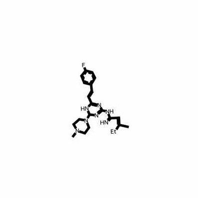 CC/C(C)=C\C(=N)NC1=NC(N2CCN(C)CC2)NC(/C=C/c2ccc(F)cc2)=N1